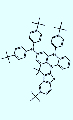 CC(C)(C)c1ccc(N(c2ccc(C(C)(C)C)cc2)c2cc3c4c(c2)C(C)(C)c2c(sc5ccc(C(C)(C)C)cc25)B4c2ccccc2N3c2ccc(C(C)(C)C)cc2)cc1